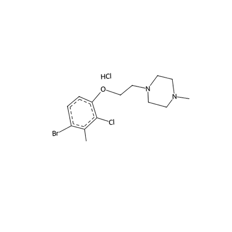 Cc1c(Br)ccc(OCCN2CCN(C)CC2)c1Cl.Cl